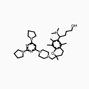 Cc1c(C)c(C(CCCO)N(C)C)c(C)c2c1OC(C)(CN1CCN(c3cc(N4CCCC4)nc(N4CCCC4)n3)CC1)CC2